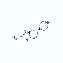 Cc1nc2ccc(N3CCNCC3)cn2n1